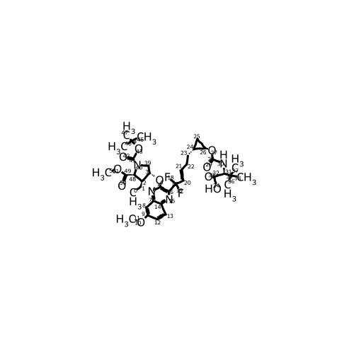 CC[C@@H]1[C@@H](Oc2nc3cc(OC)ccc3nc2C(F)(F)/C=C/CC[C@@H]2C[C@H]2OC(=O)N[C@H](C(=O)O)C(C)(C)C)CN(C(=O)OC(C)(C)C)[C@@H]1C(=O)OC